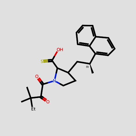 CCC(C)(C)C(=O)C(=O)N1CCC(C[C@H](C)c2cccc3ccccc23)C1C(O)=S